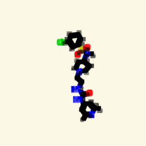 Cc1cc(NC(=O)NCCN2CCC(N(C)S(=O)(=O)c3cccc(Cl)c3)CC2)cc(C)n1